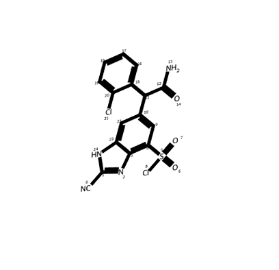 N#Cc1nc2c(S(=O)(=O)Cl)cc(C(C(N)=O)c3ccccc3Cl)cc2[nH]1